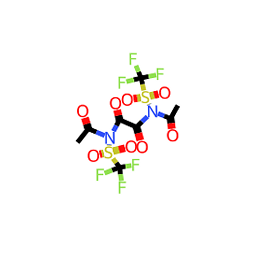 CC(=O)N(C(=O)C(=O)N(C(C)=O)S(=O)(=O)C(F)(F)F)S(=O)(=O)C(F)(F)F